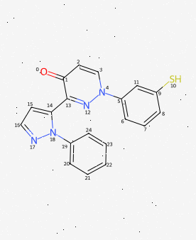 O=c1ccn(-c2cccc(S)c2)nc1-c1ccnn1-c1ccccc1